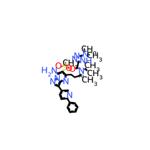 CC(C)N(C(=O)c1nnc(N(C)C)[nH]1)[C@H](C)CCc1nc2c(-c3ccc(-c4ccccc4)nc3)cnn2c(N)c1S(C)(=O)=O